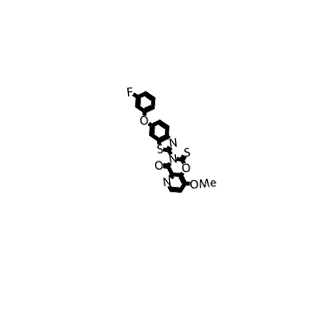 COc1ccnc2c(=O)n(-c3nc4ccc(Oc5cccc(F)c5)cc4s3)c(=S)oc12